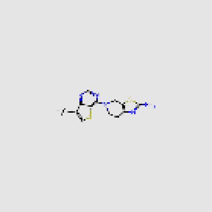 Cc1csc2c(N3CCc4nc(N)sc4C3)ncnc12